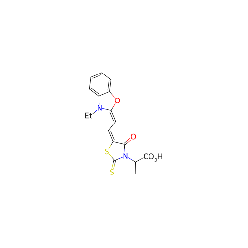 CCN1/C(=C\C=C2\SC(=S)N(C(C)C(=O)O)C2=O)Oc2ccccc21